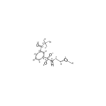 COCCNS(=O)(=O)c1cccc(C(=O)C(C)(C)C)c1